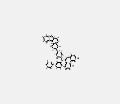 c1ccc(-c2cccc(N(c3ccc(-c4ccc5c(ccc6sc7ccccc7c65)c4)cc3)c3cc4ccccc4c4ccccc34)c2)cc1